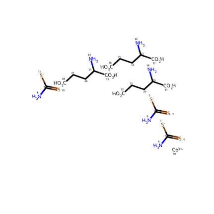 NC(=S)[S-].NC(=S)[S-].NC(=S)[S-].NC(CCC(=O)O)C(=O)O.NC(CCC(=O)O)C(=O)O.NC(CCC(=O)O)C(=O)O.[Ce+3]